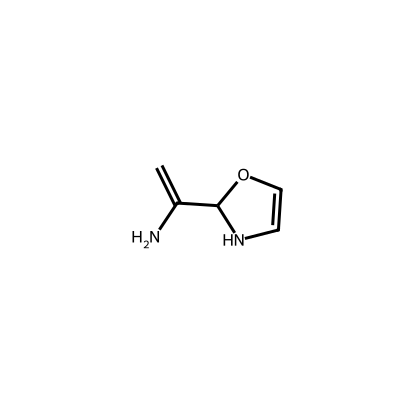 C=C(N)C1NC=CO1